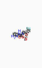 COCCCOC(c1ccc(F)c(F)c1)[C@@H]1CCCN(c2c(N[C@H](CN)CC3CCCCC3)c(=O)c2=O)C1